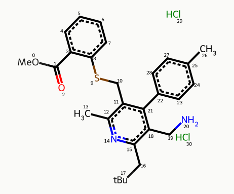 COC(=O)c1ccccc1SCc1c(C)nc(CC(C)(C)C)c(CN)c1-c1ccc(C)cc1.Cl.Cl